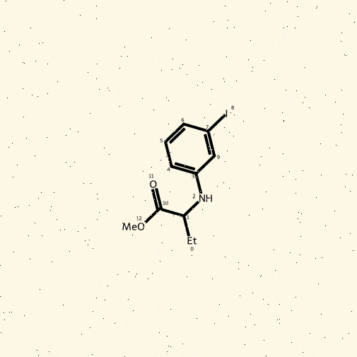 CCC(Nc1cccc(I)c1)C(=O)OC